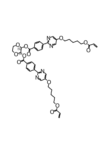 C=CC(=O)OCCCCCOc1cnc(-c2ccc(C(=O)O[C@@H]3OCCO[C@H]3OC(=O)c3ccc(-c4ncc(OCCCCCOC(=O)C=C)cn4)cc3)cc2)nc1